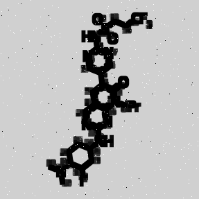 CC(C)n1c(=O)c(-c2cnc(NS(=O)(=O)CCC(F)(F)F)nc2)cc2cnc(N[C@@H]3CC[C@@H](N(C)C)C(F)C3)nc21